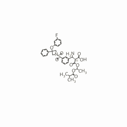 CC(OC(=O)C(C)C)OC(=O)[C@H](C(=O)O)C(N)c1cccc(S(=O)(=O)N2CC(Oc3cccc(F)c3)(c3ccccc3)C2)c1